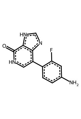 Nc1ccc(-c2c[nH]c(=O)c3[nH]cnc23)c(F)c1